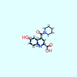 O=C(O)c1cc(C(=O)N2CCCCC2)c2cc(O)ccc2n1